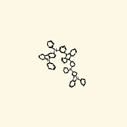 c1ccc(N(c2cccc(-c3c4ccccc4c(-c4cccc(N(c5ccccc5)c5ccc6c(c5)c5ccccc5n6-c5ccccc5)c4)c4ccccc34)c2)c2ccc3c(c2)c2ccccc2n3-c2ccccc2)cc1